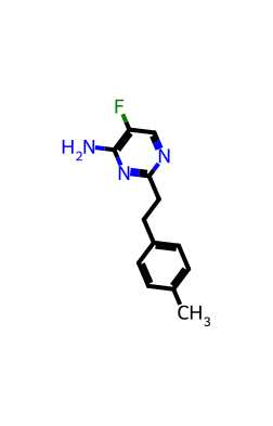 Cc1ccc(CCc2ncc(F)c(N)n2)cc1